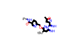 Cc1cc(C(=N)n2nc(OCc3ccc(C(=O)NC(C)C)cn3)c(C(C)(C)C)cc2=N)no1